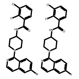 O=C(NC1CCN(c2nccc3cc(Br)ccc23)CC1)c1cccc(Cl)c1Cl.O=C(NC1CCN(c2nccc3cc(F)ccc23)CC1)c1cccc(Cl)c1Cl